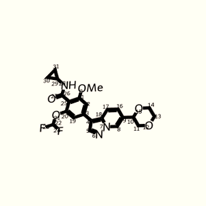 COc1cc(-c2cnn3cc(C4COCCO4)ccc23)cc(OC(F)F)c1C(=O)NC1CC1